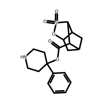 O=C(OC1(c2ccccc2)CCNCC1)C1C2CC3OS(=O)(=O)C1C3C2